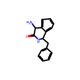 NC1C(=O)NC(Cc2ccccc2)c2ccccc21